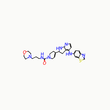 O=C(NCCCN1CCOCC1)N1CC=C(C2Cc3c(Nc4ccc5ncsc5c4)ccnc3N2)CC1